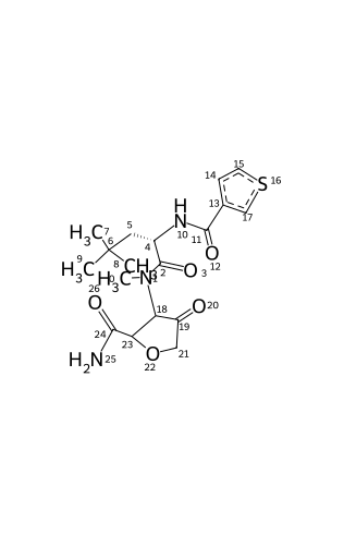 CN(C(=O)[C@H](CC(C)(C)C)NC(=O)c1ccsc1)C1C(=O)COC1C(N)=O